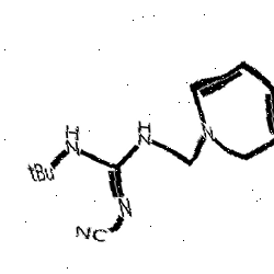 CC(C)(C)NC(=NC#N)NCN1C=CC=CC1